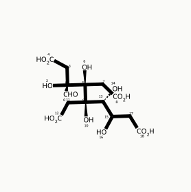 O=C[C@@](O)(CC(=O)O)[C@](O)(CC(=O)O)[C@@](O)(CC(=O)O)[C@H](O)C(O)CC(=O)O